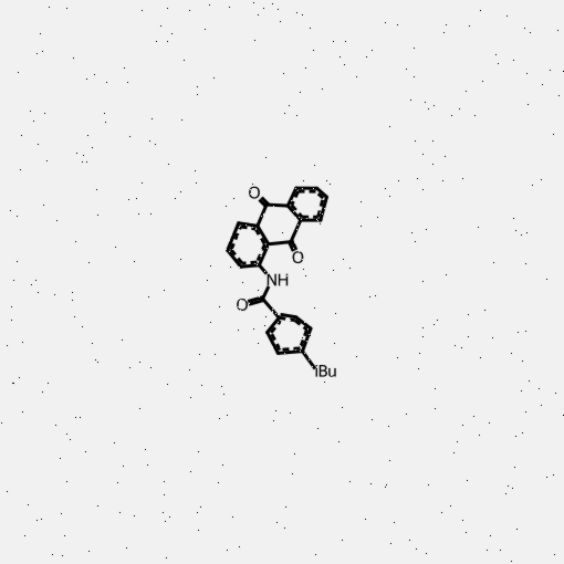 CCC(C)c1ccc(C(=O)Nc2cccc3c2C(=O)c2ccccc2C3=O)cc1